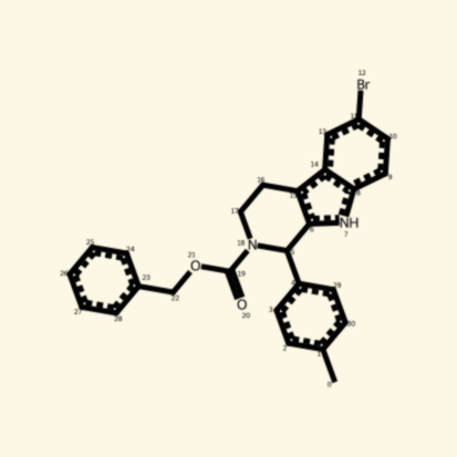 Cc1ccc(C2c3[nH]c4ccc(Br)cc4c3CCN2C(=O)OCc2ccccc2)cc1